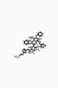 CC=Cc1nc(CN(C)C(=O)N[C@H](C(=O)N[C@@H](Cc2ccccc2)C[C@H](O)[C@H](Cc2ccccc2)NC(=O)OCc2cncs2)C(C)C)cs1